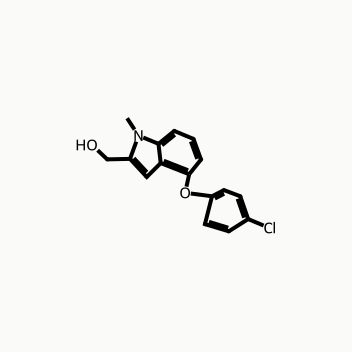 Cn1c(CO)cc2c(Oc3ccc(Cl)cc3)cccc21